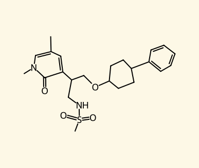 Cc1cc(C(CNS(C)(=O)=O)COC2CCC(c3ccccc3)CC2)c(=O)n(C)c1